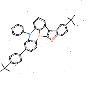 CC(C)(C)c1ccc(-c2ccc3c(c2)N(c2ccccc2)c2cccc4c2B3c2oc3ccc(C(C)(C)C)cc3c2-4)cc1